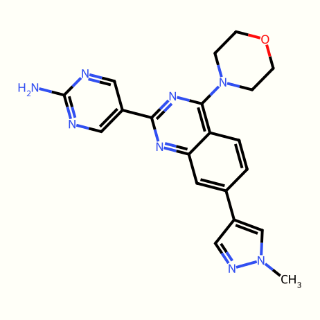 Cn1cc(-c2ccc3c(N4CCOCC4)nc(-c4cnc(N)nc4)nc3c2)cn1